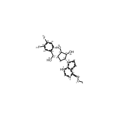 CON=c1nc[nH]c2c1ccn2[C@@H]1C[C@H](C(O)c2ccc(F)c(F)c2)[C@@H](O)[C@H]1O